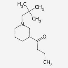 CCCC(=O)C1CCCN(CC(C)(C)C)C1